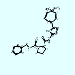 CC1(N)C=CC=C(c2csc(NC(=O)[C@@H]3CCCN3C(=O)OCc3ccccc3)n2)C=C1